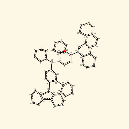 c1ccc(-c2ccccc2N(c2ccc(-c3cc4c5ccccc5ccc4c4ccccc34)cc2)c2ccc(-n3c4ccccc4c4ccccc43)c(-c3ccccc3)c2)cc1